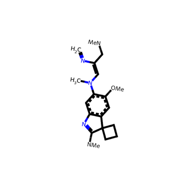 C=N/C(=C\N(C)c1cc2c(cc1OC)C1(CCC1)C(NC)=N2)CNC